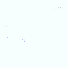 CNc1ccc(-c2ccc3ncnc(NCCC(C)C)c3c2)cc1